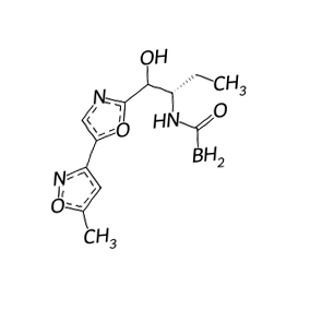 BC(=O)N[C@@H](CC)C(O)c1ncc(-c2cc(C)on2)o1